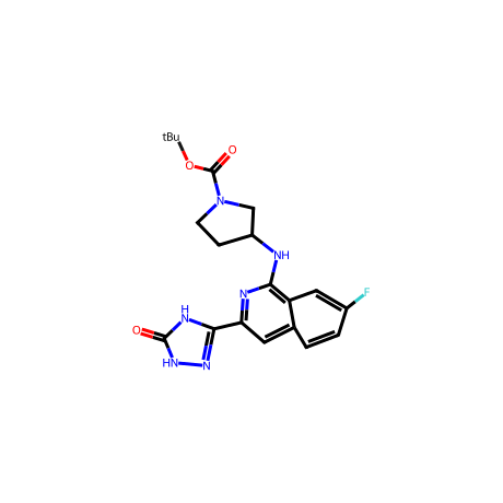 CC(C)(C)OC(=O)N1CCC(Nc2nc(-c3n[nH]c(=O)[nH]3)cc3ccc(F)cc23)C1